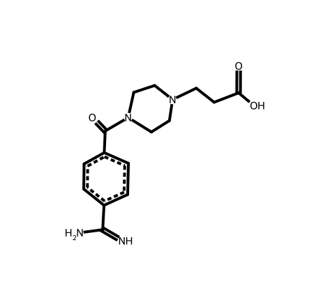 N=C(N)c1ccc(C(=O)N2CCN(CCC(=O)O)CC2)cc1